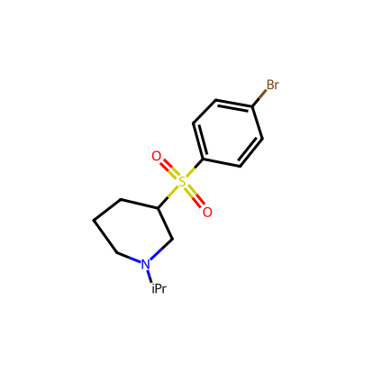 CC(C)N1CCCC(S(=O)(=O)c2ccc(Br)cc2)C1